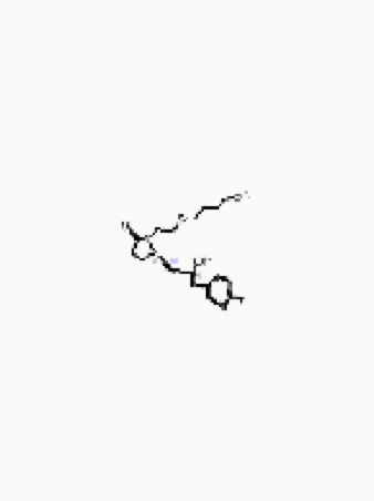 O=C1CC[C@H](/C=C/[C@@H](O)Cc2ccc(F)cc2)N1CCSCCCCO